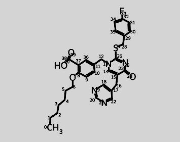 CCCCCCCOc1ccc(Cn2cc(Cc3cncnc3)c(=O)nc2SCc2ccc(F)cc2)cc1C(=O)O